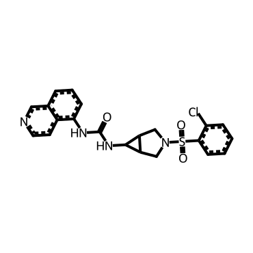 O=C(Nc1cccc2cnccc12)NC1C2CN(S(=O)(=O)c3ccccc3Cl)CC21